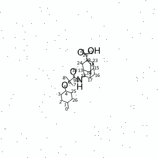 CC1CCC(OC(C)(C)C(=O)NC2C3CC4CC2CC(C(=O)O)(C4)C3)CC1